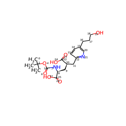 CC(C)(C)OC(=O)N[C@@H](C[C@H](Cc1ccc(CCCO)cn1)C(=O)O)C(=O)O